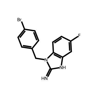 N=c1[nH]c2cc(F)ccc2n1Cc1ccc(Br)cc1